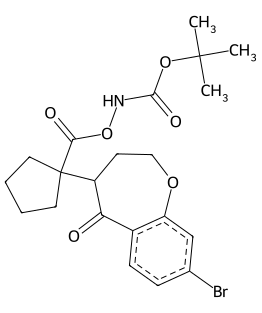 CC(C)(C)OC(=O)NOC(=O)C1(C2CCOc3cc(Br)ccc3C2=O)CCCC1